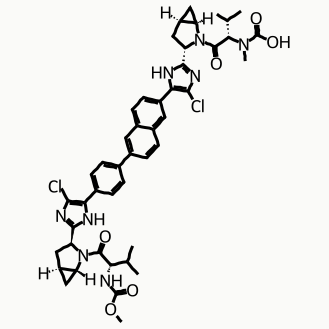 COC(=O)N[C@H](C(=O)N1[C@@H]2C[C@H]2C[C@H]1c1nc(Cl)c(-c2ccc(-c3ccc4cc(-c5[nH]c([C@@H]6C[C@H]7C[C@H]7N6C(=O)[C@H](C(C)C)N(C)C(=O)O)nc5Cl)ccc4c3)cc2)[nH]1)C(C)C